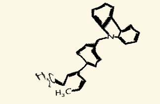 C=C/C=C(\C=C/C)c1ccc(-n2c3ccccc3c3ccccc32)cc1